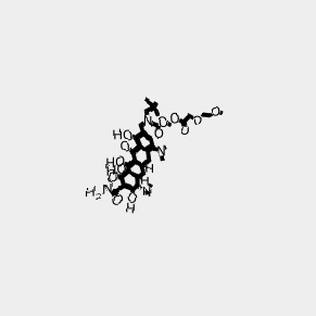 COCCOCC(=O)OCOC(=O)N(Cc1cc(N(C)C)c2c(c1O)C(=O)C1=C(O)[C@]3(O)C(=O)C(C(N)=O)=C(O)[C@@H](N(C)C)[C@@H]3C[C@@H]1C2)CC(C)(C)C